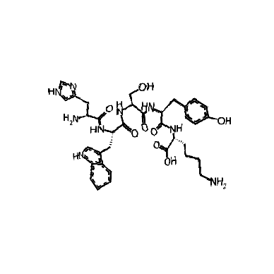 NCCCC[C@@H](NC(=O)[C@H](Cc1ccc(O)cc1)NC(=O)[C@H](CO)NC(=O)[C@H](Cc1c[nH]c2ccccc12)NC(=O)[C@@H](N)Cc1c[nH]cn1)C(=O)O